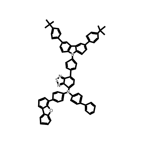 CC(C)(C)c1ccc(-c2ccc3c(c2)c2cc(-c4ccc(C(C)(C)C)cc4)ccc2n3-c2ccc(-c3ccc(N(c4ccc(-c5ccccc5)cc4)c4ccc(-c5cccc6c5oc5ccccc56)cc4)c4nsnc34)cc2)cc1